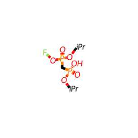 CC(C)OP(=O)(O)CP(=O)(OF)OC(C)C